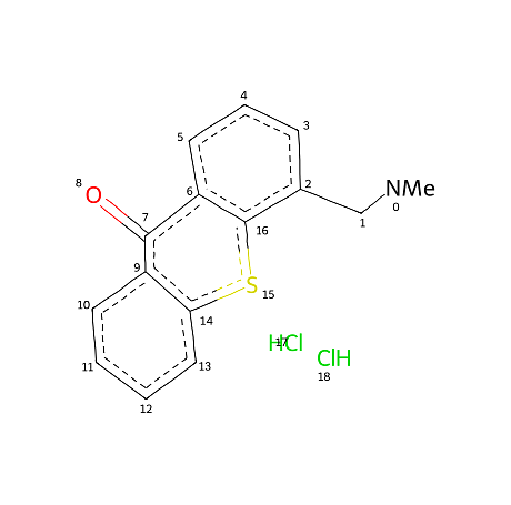 CNCc1cccc2c(=O)c3ccccc3sc12.Cl.Cl